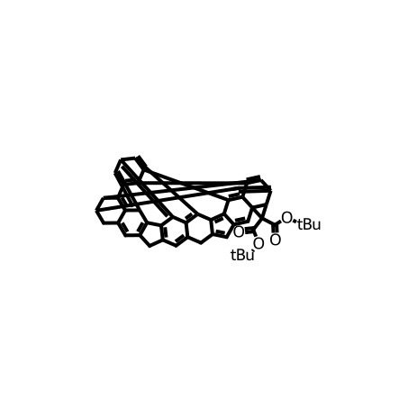 CC(C)(C)OC(=O)C1(C(=O)OC(C)(C)C)C2C3=CC4Cc5cc6c7c8c(cc9c%10c%11c%12c(cc%13c%12c%12c(c%14c%15c%16c(c5c7c%16c(c8%10)c%11c%12%15)C4C=%143)C21C=%13)C9)C6